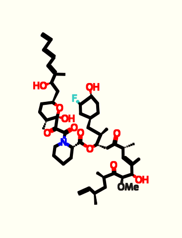 C=C/C=C/C=C(\C)[C@@H](O)C[C@@H]1CC[C@@H](C)[C@](O)(C(=O)C(=O)N2CCCC[C@H]2C(=O)O[C@@H](CC(=O)[C@H](C)/C=C(\C)[C@@H](O)[C@@H](OC)C(=O)[C@H](C)C[C@@H](C)C=C)[C@H](C)C[C@@H]2CC[C@@H](O)[C@H](F)C2)O1